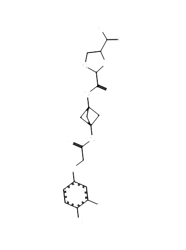 O=C(COc1ccc(Cl)c(F)c1)NC12CC(NC(=O)C3NCC(C(F)F)S3)(C1)C2